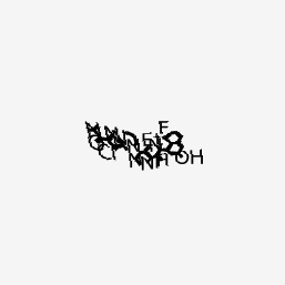 CCc1c(F)ccc2cc(O)cc(-c3ncc4c(c3F)NCN=C4N3CCCn4nc(C(=O)N(C)C)c(Cl)c4C3)c12